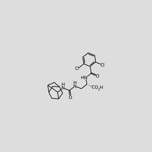 O=C(NC[C@H](NC(=O)c1c(Cl)cccc1Cl)C(=O)O)NC1C2CC3CC(C2)C1C3